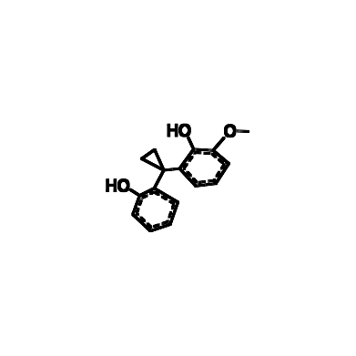 COc1cccc(C2(c3ccccc3O)CC2)c1O